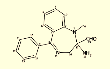 CN1c2ccccc2C(c2ccccc2)=NCC1(N)C=O